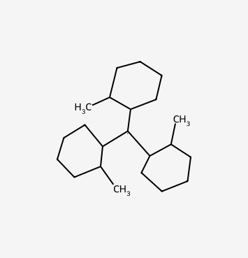 CC1CCCCC1[C](C1CCCCC1C)C1CCCCC1C